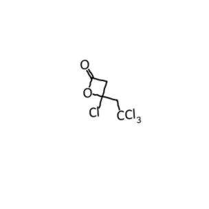 O=C1CC(Cl)(CC(Cl)(Cl)Cl)O1